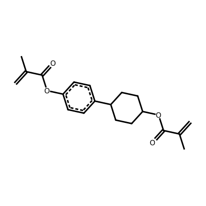 C=C(C)C(=O)Oc1ccc(C2CCC(OC(=O)C(=C)C)CC2)cc1